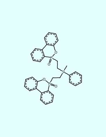 C[Si](CCP1(=O)Oc2ccccc2-c2ccccc21)(CCP1(=O)Oc2ccccc2-c2ccccc21)c1ccccc1